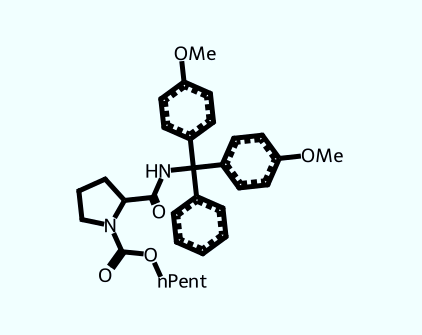 CCCCCOC(=O)N1CCCC1C(=O)NC(c1ccccc1)(c1ccc(OC)cc1)c1ccc(OC)cc1